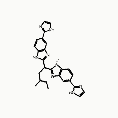 CCC(C)CC(c1nc2cc(-c3ncc[nH]3)ccc2[nH]1)c1nc2cc(-c3ncc[nH]3)ccc2[nH]1